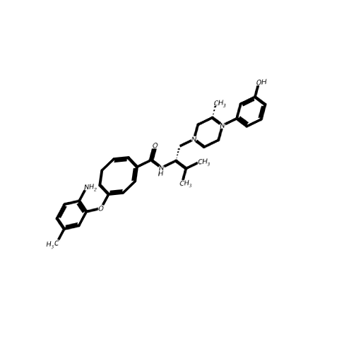 Cc1ccc(N)c(O/C2=C/C=C(C(=O)N[C@H](CN3CCN(c4cccc(O)c4)[C@@H](C)C3)C(C)C)\C=C/CC2)c1